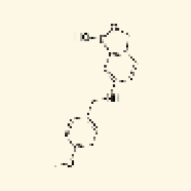 COc1ccc(CNc2ccc3c(c2)B(O)OC3)cc1